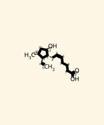 C=C[C@@H]1[C@@H](C/C=C\CCCC(=O)O)[C@@H](O)C[C@H]1C